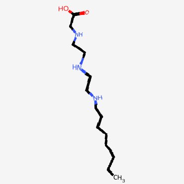 CCCCCCCCNCCNCCNCC(=O)O